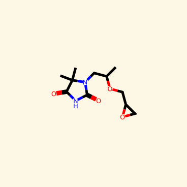 CC(CN1C(=O)NC(=O)C1(C)C)OCC1CO1